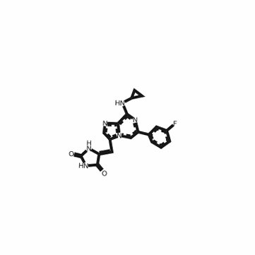 O=C1NC(=O)/C(=C/c2cnc3c(NC4CC4)nc(-c4cccc(F)c4)cn23)N1